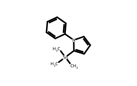 [CH3][Sn]([CH3])([CH3])[c]1cccn1-c1ccccc1